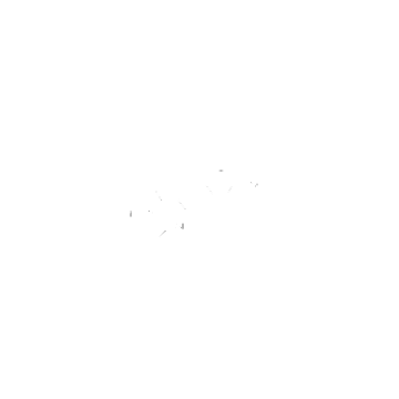 CC(C)n1c(=O)[nH]cc(Oc2c(Cl)cc([N+](=O)[O-])cc2Cl)c1=O